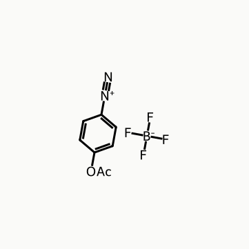 CC(=O)Oc1ccc([N+]#N)cc1.F[B-](F)(F)F